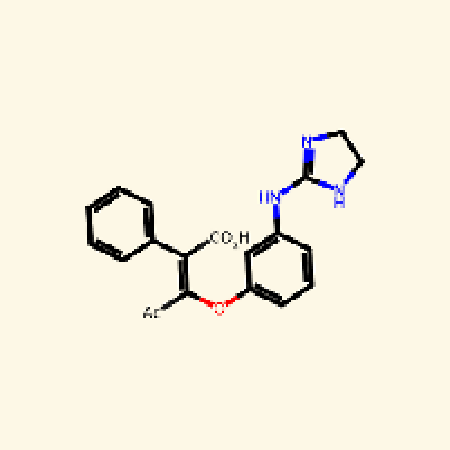 CC(=O)C(Oc1cccc(NC2=NCCN2)c1)=C(C(=O)O)c1ccccc1